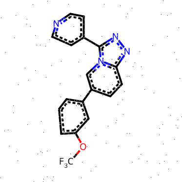 FC(F)(F)Oc1cccc(-c2ccc3nnc(-c4ccncc4)n3c2)c1